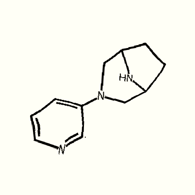 [c]1ncccc1N1CC2CCC(C1)N2